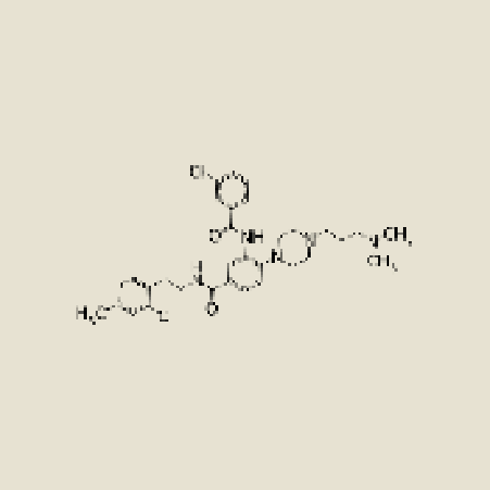 Cc1ccc(CCNC(=O)c2ccc(N3CCN(CCCN(C)C)CC3)c(NC(=O)c3cccc(Cl)c3)c2)c(Cl)c1